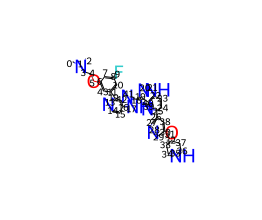 CN(C)CCOc1cc(F)cc(-c2nccc3[nH]c(-c4n[nH]c5ccc(-c6cncc(OC7CCNCC7)c6)nc45)nc23)c1